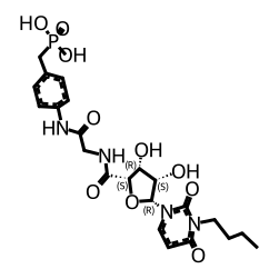 CCCCn1c(=O)ccn([C@@H]2O[C@H](C(=O)NCC(=O)Nc3ccc(CP(=O)(O)O)cc3)[C@H](O)[C@@H]2O)c1=O